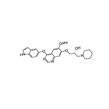 COc1cc2c(Oc3ccc4[nH]ccc4c3)ncnc2cc1OC[C@H](O)CN1CCCCC1